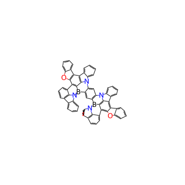 c1ccc2c(c1)oc1c3c4c5c(c6ccccc6n5-c5cc6c(cc5B4n4c5ccccc5c5cccc-3c54)B3c4c(c5oc7ccccc7c5c5c7ccccc7n-6c45)-c4cccc5c6ccccc6n3c45)c12